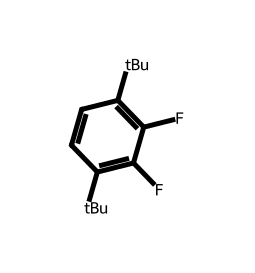 CC(C)(C)c1ccc(C(C)(C)C)c(F)c1F